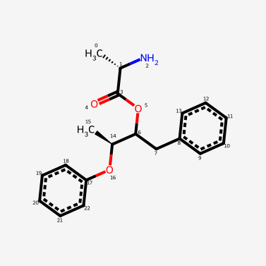 C[C@H](N)C(=O)OC(Cc1ccccc1)[C@H](C)Oc1ccccc1